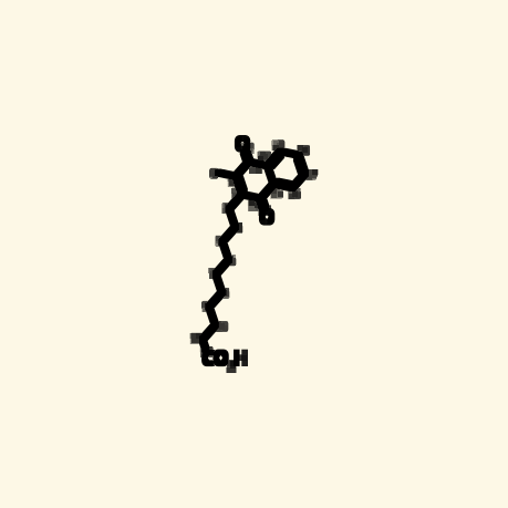 CC1=C(CCCCCCCCCC(=O)O)C(=O)c2ccccc2C1=O